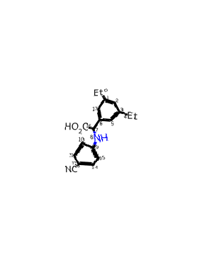 CCc1cc(CC)cc(C(Nc2ccc(C#N)cc2)C(=O)O)c1